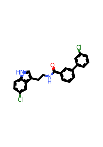 O=C(NCCc1c[nH]c2ccc(Cl)cc12)c1cccc(-c2cccc(Cl)c2)c1